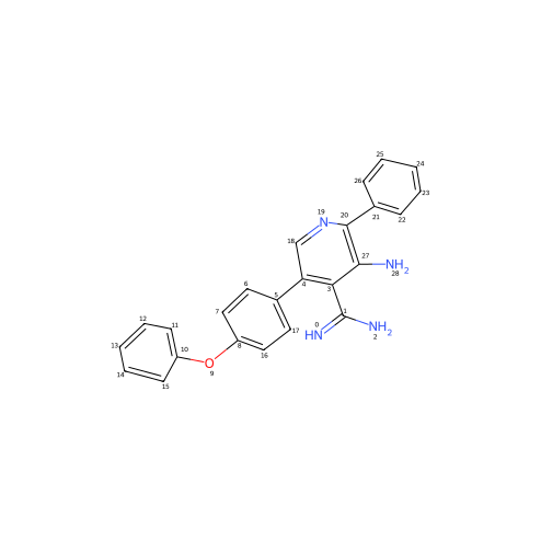 N=C(N)c1c(-c2ccc(Oc3ccccc3)cc2)cnc(-c2ccccc2)c1N